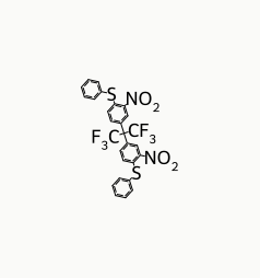 O=[N+]([O-])c1cc(C(c2ccc(Sc3ccccc3)c([N+](=O)[O-])c2)(C(F)(F)F)C(F)(F)F)ccc1Sc1ccccc1